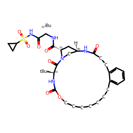 CC[C@H](C)C(NC(=O)[C@@H]1C[C@@H]2CN1C(=O)[C@H](C(C)(C)C)NC(=O)OCCCCCCCc1ccccc1CCC(=O)N2)C(=O)NS(=O)(=O)C1CC1